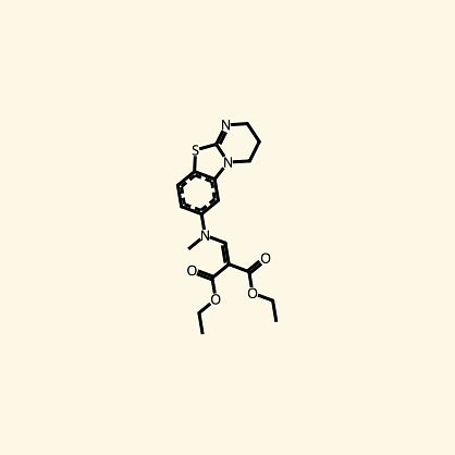 CCOC(=O)C(=CN(C)c1ccc2c(c1)N1CCCN=C1S2)C(=O)OCC